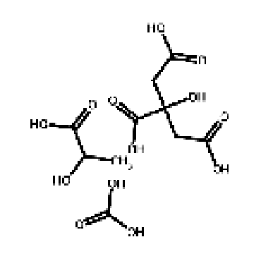 CC(O)C(=O)O.O=C(O)CC(O)(CC(=O)O)C(=O)O.O=C(O)O